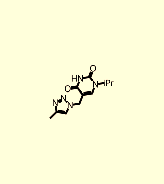 Cc1cn(Cc2cn(C(C)C)c(=O)[nH]c2=O)nn1